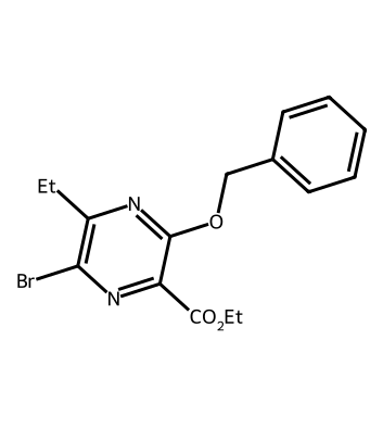 CCOC(=O)c1nc(Br)c(CC)nc1OCc1ccccc1